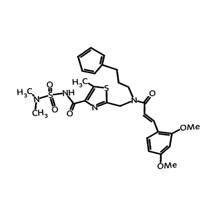 COc1ccc(/C=C/C(=O)N(CCCc2ccccc2)Cc2nc(C(=O)NS(=O)(=O)N(C)C)c(C)s2)c(OC)c1